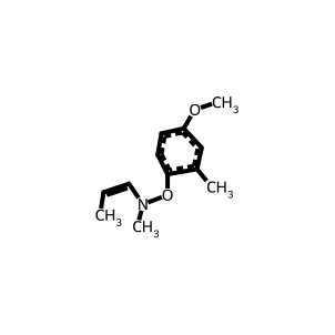 C/C=C\N(C)Oc1ccc(OC)cc1C